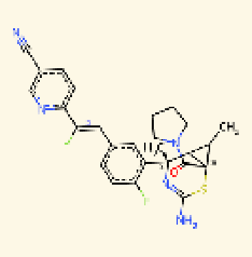 CC1C2[C@@]1(C(=O)N1CCCC1)SC(N)=N[C@]2(C)c1cc(/C=C(\F)c2ccc(C#N)cn2)ccc1F